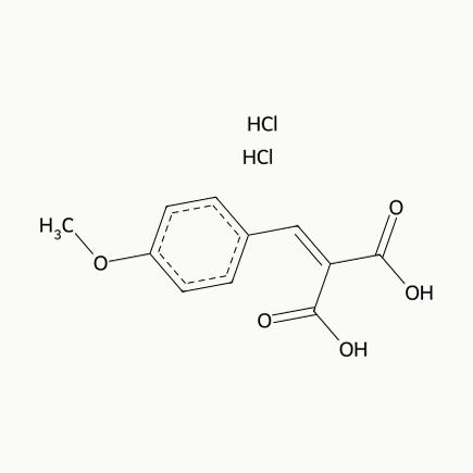 COc1ccc(C=C(C(=O)O)C(=O)O)cc1.Cl.Cl